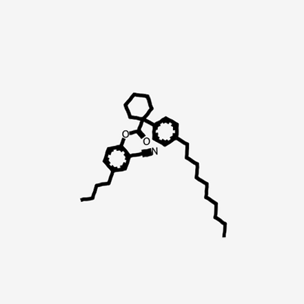 CCCCCCCCCCc1ccc(C2(C(=O)Oc3ccc(CCCC)cc3C#N)CCCCC2)cc1